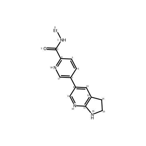 CCNC(=O)c1ccc(-c2cnc3c(c2)CCN3)cn1